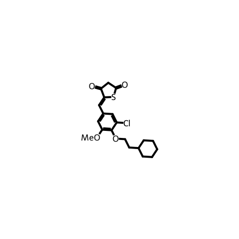 COc1cc(/C=C2\SC(=O)CC2=O)cc(Cl)c1OCCC1CCCCC1